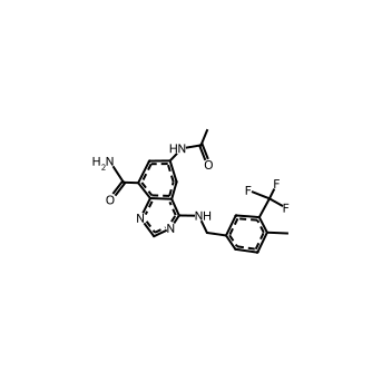 CC(=O)Nc1cc(C(N)=O)c2ncnc(NCc3ccc(C)c(C(F)(F)F)c3)c2c1